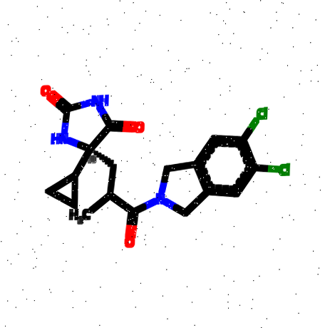 CC(C[C@]1(C2CC2)NC(=O)NC1=O)C(=O)N1Cc2cc(Cl)c(Cl)cc2C1